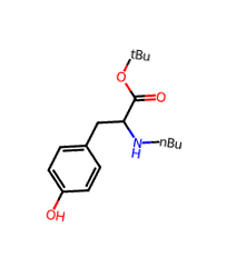 CCCCNC(Cc1ccc(O)cc1)C(=O)OC(C)(C)C